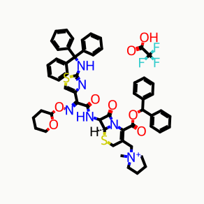 C[N+]1(CC2=C(C(=O)OC(c3ccccc3)c3ccccc3)N3C(=O)C(NC(=O)C(=NOC4CCCCO4)c4csc(NC(c5ccccc5)(c5ccccc5)c5ccccc5)n4)[C@@H]3SC2)CCCC1.O=C(O)C(F)(F)F